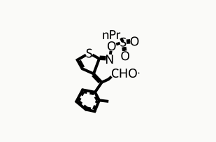 CCCS(=O)(=O)ON=C1SC=CC1=C(C[C]=O)c1ccccc1C